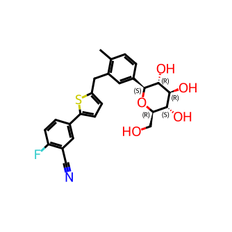 Cc1ccc([C@@H]2O[C@H](CO)[C@@H](O)[C@H](O)[C@H]2O)cc1Cc1ccc(-c2ccc(F)c(C#N)c2)s1